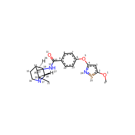 COc1cc(Oc2ccc(C(=O)N[C@@H]3C4CCN(CC4)[C@H]3C)cc2)ns1